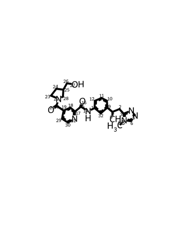 CC(Cc1nncn1C)c1cccc(NC(=O)c2cc(C(=O)N3CCC(CO)C3)ccn2)c1